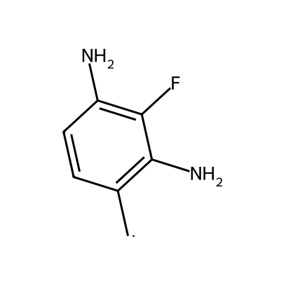 [CH2]c1ccc(N)c(F)c1N